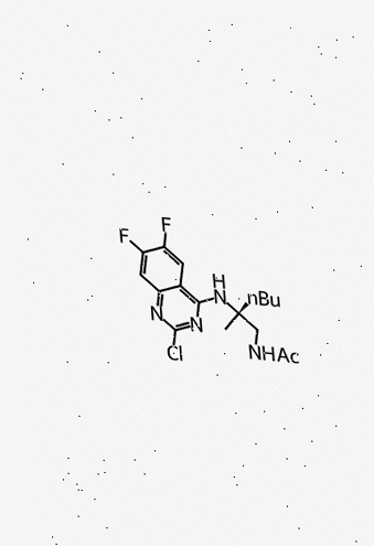 CCCC[C@](C)(CNC(C)=O)Nc1nc(Cl)nc2cc(F)c(F)cc12